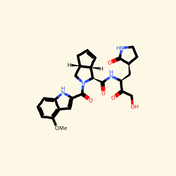 COc1cccc2[nH]c(C(=O)N3C[C@@H]4CC=C[C@@H]4[C@H]3C(=O)N[C@@H](C[C@@H]3CCNC3=O)C(=O)CO)cc12